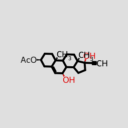 C#C[C@]1(O)CCC2C3C(CC[C@@]21C)[C@@]1(C)CC[C@H](OC(C)=O)CC1=C[C@@H]3O